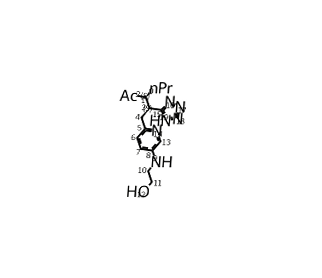 CCC[C@H](C(C)=O)[C@H](Cc1ccc(NCCO)cn1)c1nnn[nH]1